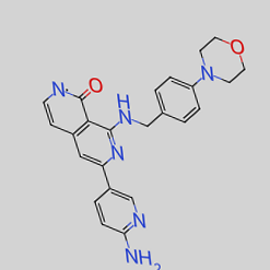 Nc1ccc(-c2cc3c(c(NCc4ccc(N5CCOCC5)cc4)n2)C(=O)[N]C=C3)cn1